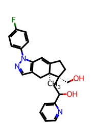 C[C@]12Cc3cnn(-c4ccc(F)cc4)c3C=C1CC[C@@]2(CO)CC(O)c1ccccn1